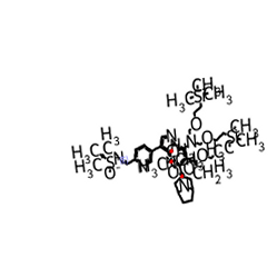 C=C(OCC)c1c(C2CC3CCC(C2)N3C(=O)OC(C)(C)C)nc2c(-c3ccc(/C=N/[S+]([O-])C(C)(C)C)nc3)cnn2c1N(COCC[Si](C)(C)C)COCC[Si](C)(C)C